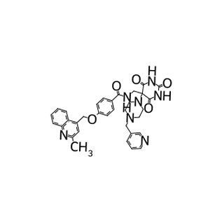 Cc1cc(COc2ccc(C(=O)NCC3(N4CCN(Cc5cccnc5)CC4)C(=O)NC(=O)NC3=O)cc2)c2ccccc2n1